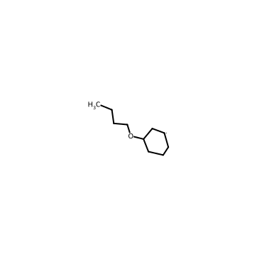 CCCCOC1C[CH]CCC1